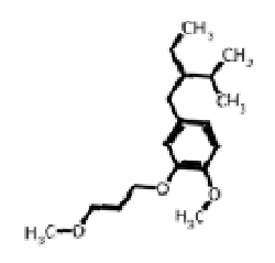 CCC(Cc1ccc(OC)c(OCCCOC)c1)C(C)C